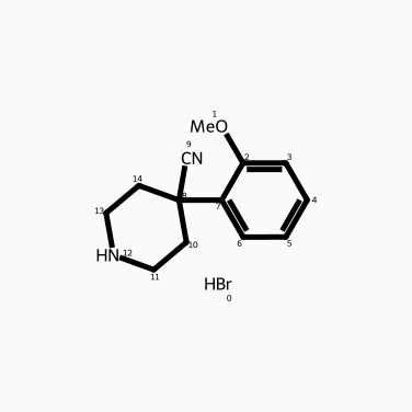 Br.COc1ccccc1C1(C#N)CCNCC1